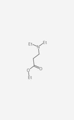 CCOC(=O)CCN(CC)CC